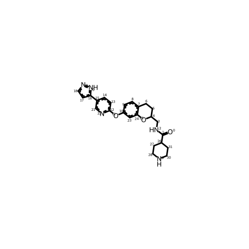 O=C(NCC1CCc2ccc(Oc3ccc(-c4ccn[nH]4)cn3)cc2O1)C1CCNCC1